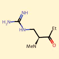 CCC(=O)[C@H](CNC(=N)N)NC